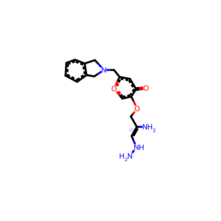 NN/C=C(\N)COc1coc(CN2Cc3ccccc3C2)cc1=O